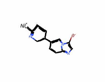 N#Cc1ccc(-c2ccc3ncc(Br)n3c2)cn1